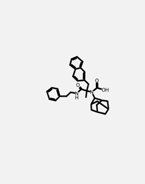 CC(Cc1ccc2ccccc2c1)(C(=O)NCCc1ccccc1)N(C(=O)O)C1C2CC3CC(C2)CC1C3